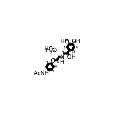 CC(=O)Nc1ccc(OCCNCC(O)c2ccc(O)c(O)c2)cc1.Cl.O